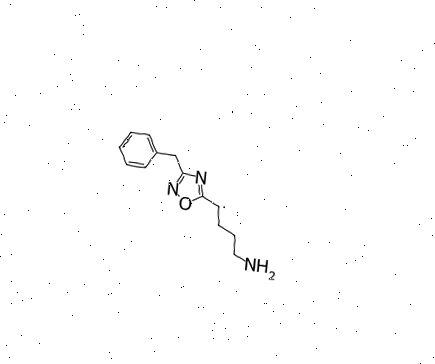 NCCC[CH]c1nc(Cc2ccccc2)no1